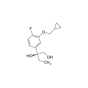 CC[C@@](O)(CO)c1ccc(F)c(OCC2CC2)c1